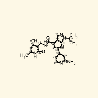 Cc1cc(C)c(CNC(=O)c2cc(-c3ccnc(N)c3)nc3c2cnn3C(C)C)c(=O)[nH]1